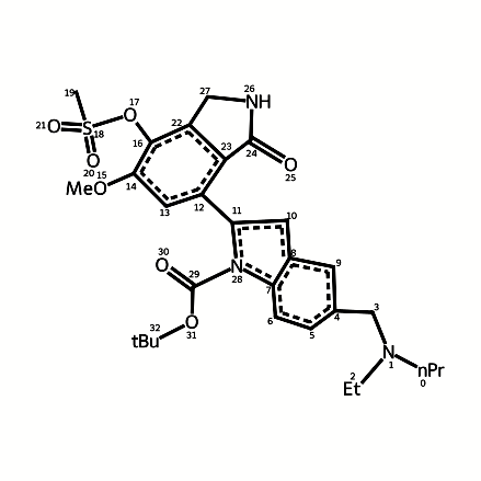 CCCN(CC)Cc1ccc2c(c1)cc(-c1cc(OC)c(OS(C)(=O)=O)c3c1C(=O)NC3)n2C(=O)OC(C)(C)C